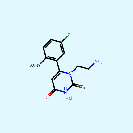 COc1ccc(Cl)cc1-c1cc(=O)[nH]c(=S)n1CCN.Cl